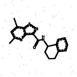 Cc1cc(C)c2snc(C(=O)NC3CCCc4ccccc43)c2n1